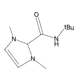 CN1C=CN(C)C1C(=O)NC(C)(C)C